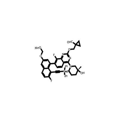 COCOc1cc(-c2ccc3c(N4CCC[C@@](C)(O)C4)nc(OCC4(C=O)CC4)nc3c2F)c2c(C#C[Si](C(C)C)(C(C)C)C(C)C)c(F)ccc2c1